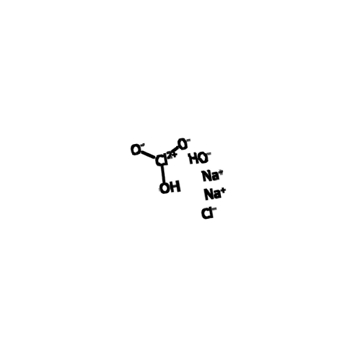 [Cl-].[Na+].[Na+].[O-][Cl+2]([O-])O.[OH-]